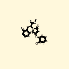 COC(=O)[C@H](Cc1c(F)cccc1F)N1CC(Oc2ccccc2Cl)=CC1=O